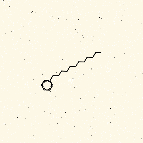 CCCCCCCCCCCCc1ccccc1.F